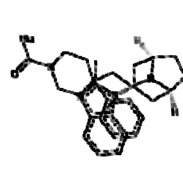 Cc1nc2ccccc2n1[C@@H]1C[C@H]2CC[C@@H](C1)N2CCC1(c2ccccc2)CCN(C(=O)C(C)(C)C)CC1